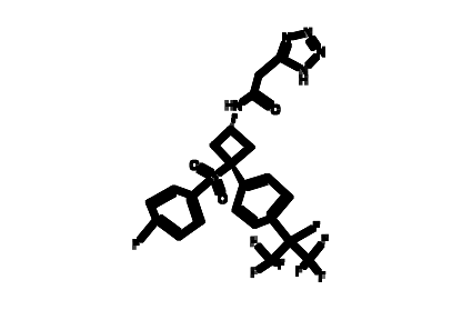 O=C(Cc1nnn[nH]1)N[C@H]1C[C@@](c2ccc(C(F)(C(F)(F)F)C(F)(F)F)cc2)(S(=O)(=O)c2ccc(F)cc2)C1